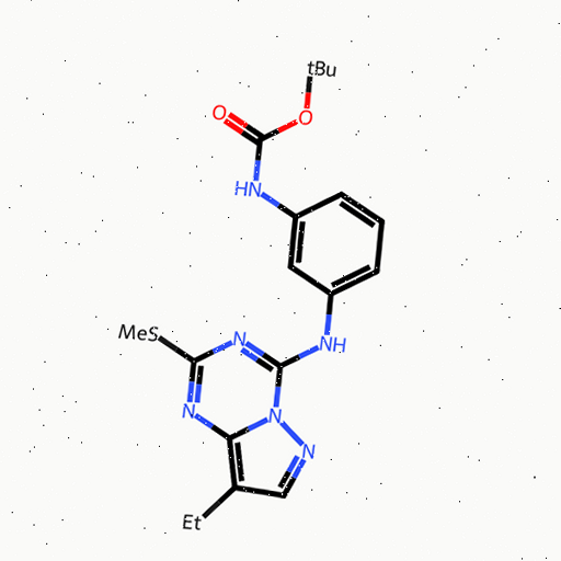 CCc1cnn2c(Nc3cccc(NC(=O)OC(C)(C)C)c3)nc(SC)nc12